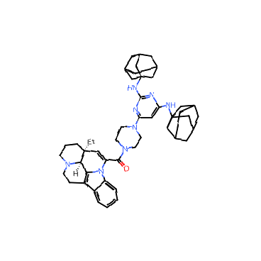 CC[C@@]12C=C(C(=O)N3CCN(c4cc(NC56CC7CC(CC(C7)C5)C6)nc(NC56CC7CC(CC(C7)C5)C6)n4)CC3)n3c4c(c5ccccc53)CCN(CCC1)[C@H]42